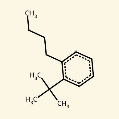 CCCCc1[c]cccc1C(C)(C)C